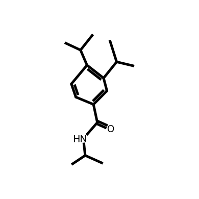 CC(C)NC(=O)c1ccc(C(C)C)c(C(C)C)c1